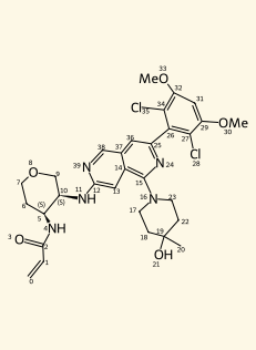 C=CC(=O)N[C@H]1CCOC[C@H]1Nc1cc2c(N3CCC(C)(O)CC3)nc(-c3c(Cl)c(OC)cc(OC)c3Cl)cc2cn1